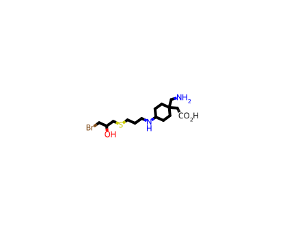 NCC1(CC(=O)O)CCC(NCCCSCC(O)CBr)CC1